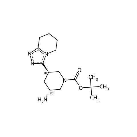 CC(C)(C)OC(=O)N1C[C@H](N)C[C@@H](c2nnc3n2CCCC3)C1